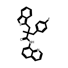 CC(Cc1ccc(F)cc1)(Cc1scc2ccccc12)C(=O)Nc1cccc2cccnc12